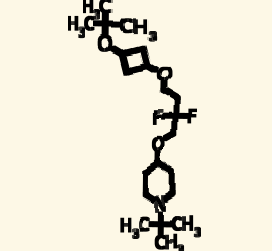 CC(C)(C)OC1CC(OCCC(F)(F)COC2CCN(C(C)(C)C)CC2)C1